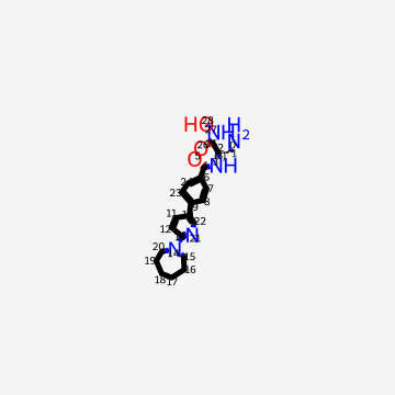 NC[C@H](NC(=O)c1ccc(-c2ccc(N3CCCCCC3)nc2)cc1)C(=O)NO